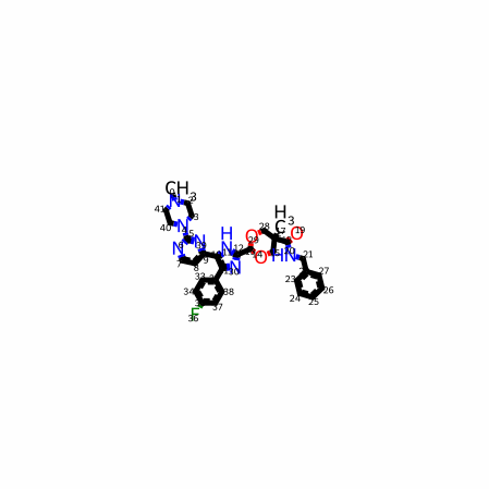 CN1CCN(c2nccc(-c3[nH]c(C4OCC(C)(C(=O)NCc5ccccc5)CO4)nc3-c3ccc(F)cc3)n2)CC1